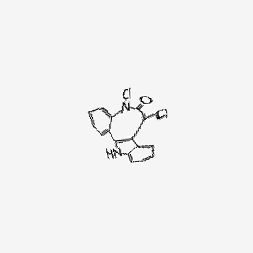 O=C1C(Cl)c2c([nH]c3ccccc23)-c2ccccc2N1Cl